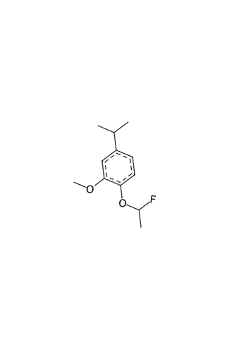 COc1cc(C(C)C)ccc1OC(C)F